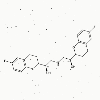 O[C@H](CNC[C@H](O)C1CCc2cc(F)ccc2O1)C1CCc2cc(F)ccc2O1